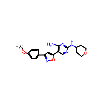 COc1ccc(-c2cc(-c3cnc(NC4CCOCC4)nc3N)on2)cc1